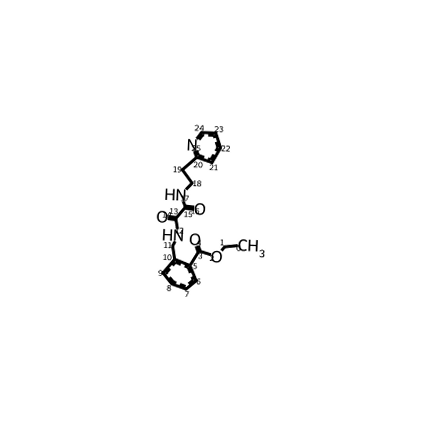 CCOC(=O)c1ccccc1CNC(=O)C(=O)NCCc1ccccn1